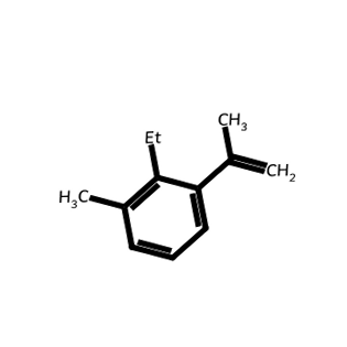 C=C(C)c1cccc(C)c1CC